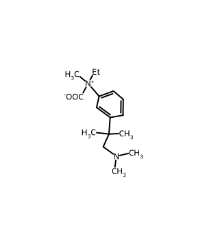 CC[N+](C)(C(=O)[O-])c1cccc(C(C)(C)CN(C)C)c1